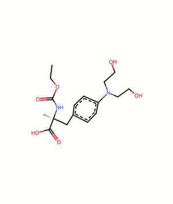 CCOC(=O)N[C@@](C)(Cc1ccc(N(CCO)CCO)cc1)C(=O)O